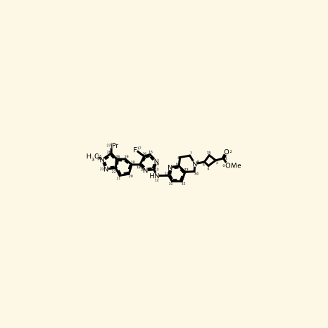 COC(=O)C1CC(N2CCc3nc(Nc4ncc(F)c(-c5ccc6nn(C)c(C(C)C)c6c5)n4)ccc3C2)C1